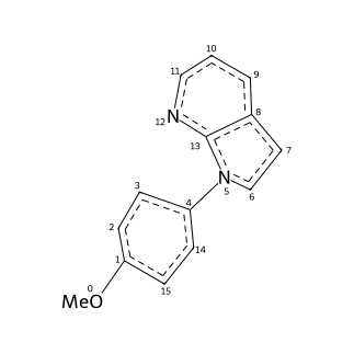 COc1ccc(-n2ccc3cccnc32)cc1